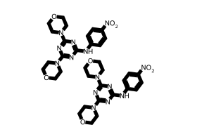 O=[N+]([O-])c1ccc(Nc2nc(N3CCOCC3)nc(N3CCOCC3)n2)cc1.O=[N+]([O-])c1ccc(Nc2nc(N3CCOCC3)nc(N3CCOCC3)n2)cc1